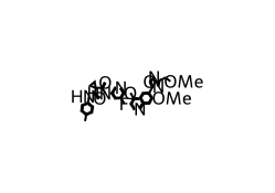 COCc1noc(-c2cc3c(Oc4ncc(NC(=O)C5(C(=O)Nc6ccc(C)cc6)CC5)cc4F)ccnc3cc2OC)n1